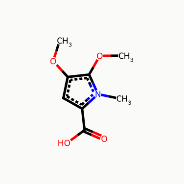 COc1cc(C(=O)O)n(C)c1OC